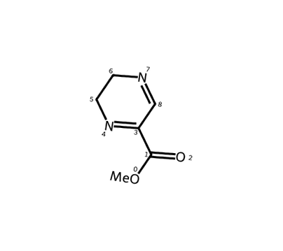 COC(=O)C1=NCCN=C1